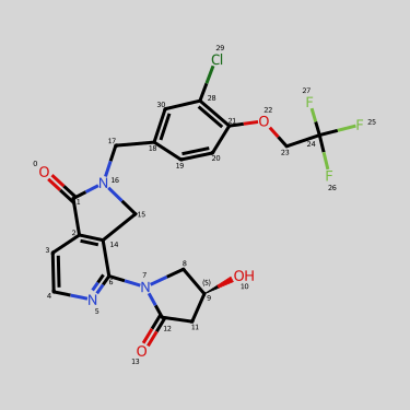 O=C1c2ccnc(N3C[C@@H](O)CC3=O)c2CN1Cc1ccc(OCC(F)(F)F)c(Cl)c1